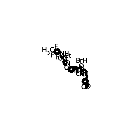 Br.CCN(C(=O)Nc1cc(F)c(C)c(F)c1F)c1ccc(Oc2ccc3c(c2)cc(C(=O)N2CCN(Cc4ccc5c(c4)OCO5)CC2)n3C)nc1